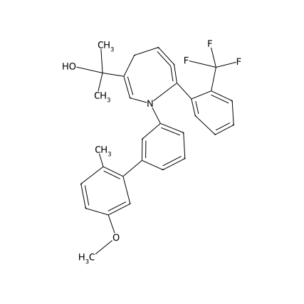 COc1ccc(C)c(-c2cccc(N3C=C(C(C)(C)O)CC=C=C3c3ccccc3C(F)(F)F)c2)c1